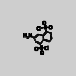 Nc1cc(S(=O)(=O)Cl)c2cccc(S(=O)(=O)Cl)c2c1